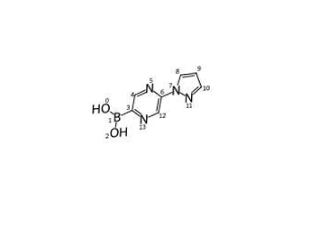 OB(O)c1cnc(-n2cccn2)cn1